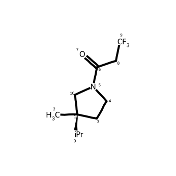 CC(C)[C@]1(C)CCN(C(=O)CC(F)(F)F)C1